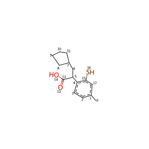 Cc1ccc(C(CC2CCCC2)C(=O)O)c(S)c1